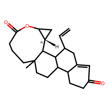 C=CC1CC2=CC(=O)CCC2C2CCC3(C)CCCC(=O)OC4C[C@@H]4C3C12